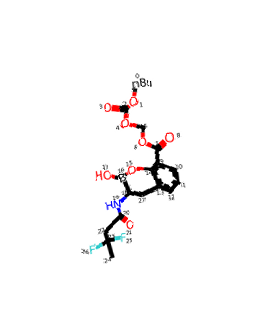 CCCCOC(=O)OCOC(=O)c1cccc2c1OB(O)C(NC(=O)CC(C)(F)F)C2